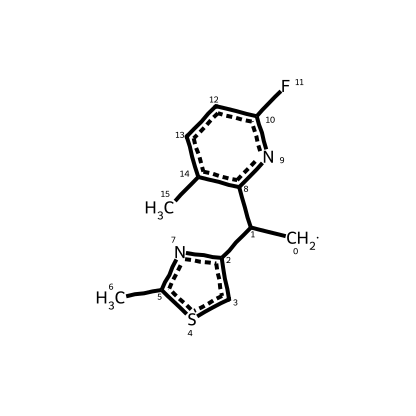 [CH2]C(c1csc(C)n1)c1nc(F)ccc1C